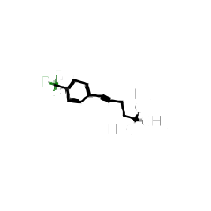 CC(C)(C)C[CH]C#Cc1ccc(C(F)(F)F)cc1